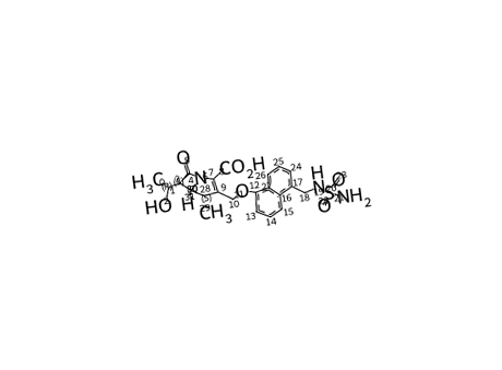 C[C@@H](O)[C@H]1C(=O)N2C(C(=O)O)=C(COc3cccc4c(CNS(N)(=O)=O)cccc34)[C@H](C)[C@H]12